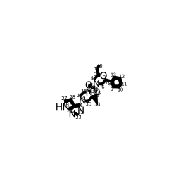 CCC(=O)CN(CCc1ccccc1)S(=O)(=O)N1CCN(c2ncnc3[nH]ccc23)CC12CC2